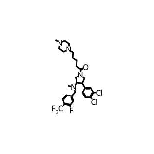 CN1CCN(CCCCC(=O)N2CC(c3ccc(Cl)c(Cl)c3)C(N(C)Cc3ccc(C(F)(F)F)c(F)c3)C2)CC1